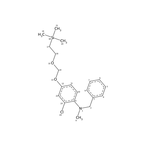 CN(Cc1ccccc1)c1ccc(OCOCC[Si](C)(C)C)cc1Cl